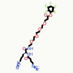 [N-]=[N+]=NCCCC[C@H](NC(=O)CCCN=[N+]=[N-])C(=O)NCCOCCOCCOCCOCCC(=O)Oc1c(F)c(F)c(F)c(F)c1F